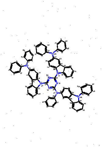 c1ccc(N(c2ccccc2)c2ccc3c(c2)c2ccccc2n3-c2nc(N(c3ccccc3)c3ccc4c(c3)c3ccccc3n4-c3ccccc3)nc(-n3c4ccccc4c4cc(N(c5ccccc5)c5ccccc5)ccc43)n2)cc1